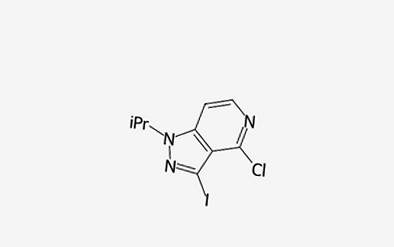 CC(C)n1nc(I)c2c(Cl)nccc21